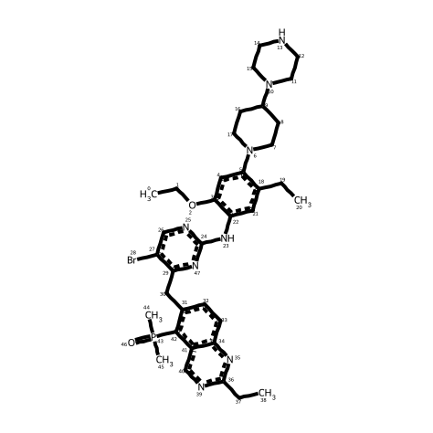 CCOc1cc(N2CCC(N3CCNCC3)CC2)c(CC)cc1Nc1ncc(Br)c(Cc2ccc3nc(CC)ncc3c2P(C)(C)=O)n1